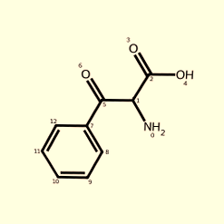 N[C](C(=O)O)C(=O)c1ccccc1